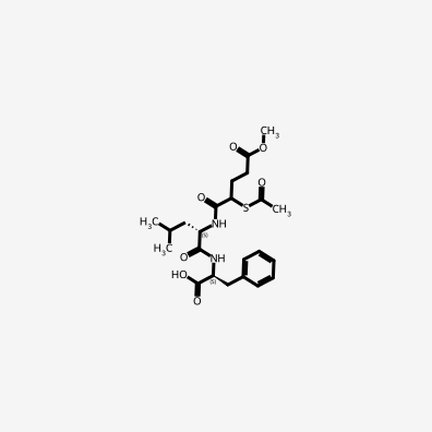 COC(=O)CCC(SC(C)=O)C(=O)N[C@@H](CC(C)C)C(=O)N[C@@H](Cc1ccccc1)C(=O)O